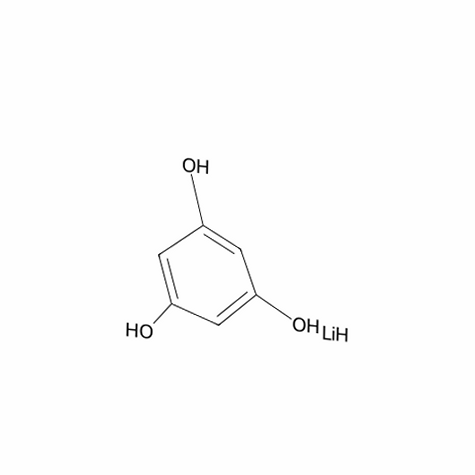 Oc1cc(O)cc(O)c1.[LiH]